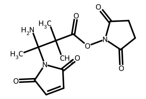 CC(C)(C(=O)ON1C(=O)CCC1=O)C(C)(N)N1C(=O)C=CC1=O